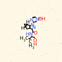 CC(C)C(CO)NC(=O)c1nn(-c2c[n+](O)ccn2)c2c1C[C@@H]1C[C@H]21